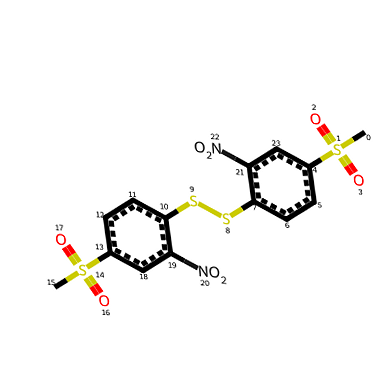 CS(=O)(=O)c1ccc(SSc2ccc(S(C)(=O)=O)cc2[N+](=O)[O-])c([N+](=O)[O-])c1